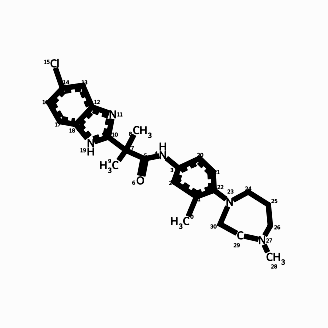 Cc1cc(NC(=O)C(C)(C)c2nc3cc(Cl)ccc3[nH]2)ccc1N1CCCN(C)CC1